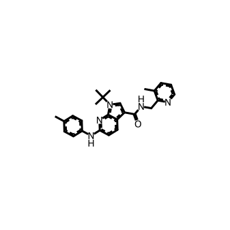 Cc1ccc(Nc2ccc3c(C(=O)NCc4ncccc4C)cn(C(C)(C)C)c3n2)cc1